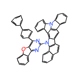 c1ccc(-c2ccc(-c3nc(-n4c5c6ccccc6ccc5c5cc6c7ccccc7n7c8ccccc8c(c54)c67)nc4c3oc3ccccc34)cc2)cc1